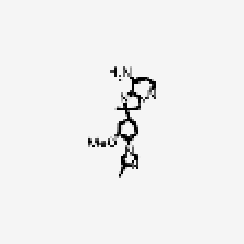 COc1cc(C2(C)CN3N=CC=C(N)C3=N2)ccc1-n1cnc(C)c1